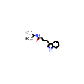 O=C(C=CCc1c[nH]c2ccccc12)NC(C(=O)O)C(=O)O